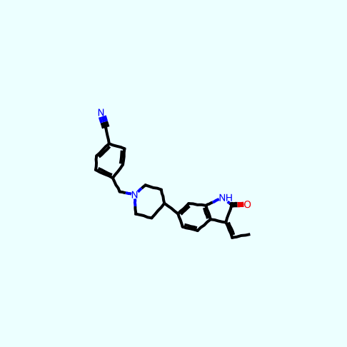 CC=C1C(=O)Nc2cc(C3CCN(Cc4ccc(C#N)cc4)CC3)ccc21